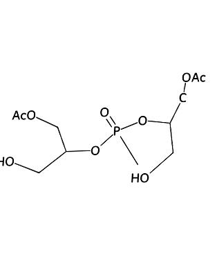 CC(=O)OCC(CO)OP(C)(=O)OC(CO)COC(C)=O